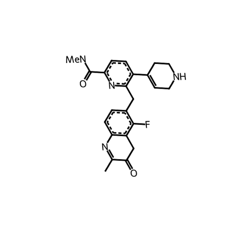 CNC(=O)c1ccc(C2=CCNCC2)c(Cc2ccc3c(c2F)CC(=O)C(C)=N3)n1